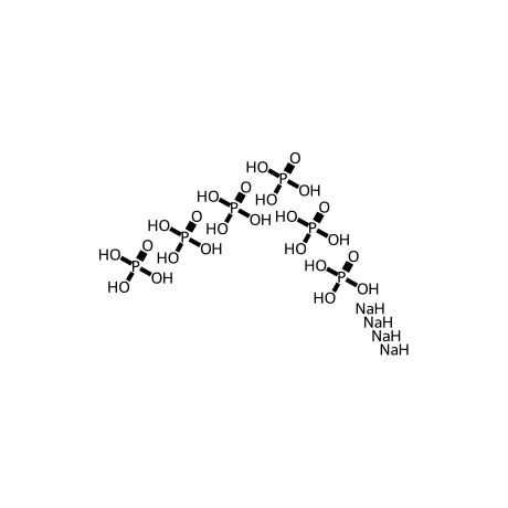 O=P(O)(O)O.O=P(O)(O)O.O=P(O)(O)O.O=P(O)(O)O.O=P(O)(O)O.O=P(O)(O)O.[NaH].[NaH].[NaH].[NaH]